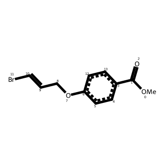 COC(=O)c1ccc(OCC=CBr)cc1